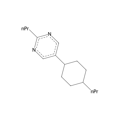 CCCc1ncc(C2CCC(CCC)CC2)cn1